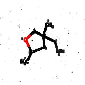 CCCCCC1(C)COC(C)C1